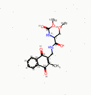 CC1=C(CNC(=O)C(COC(C)C)NC(=O)OC(C)(C)C)C(=O)c2ccccc2C1=O